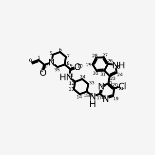 C=CC(=O)N1CCCC(C(=O)NC2CCC(Nc3ncc(Cl)c(-c4c[nH]c5ccccc45)n3)CC2)C1